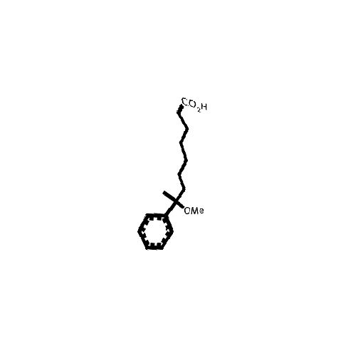 COC(C)(CCCCCCC(=O)O)c1ccccc1